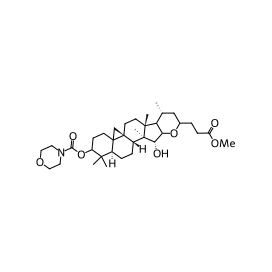 COC(=O)CCC1C[C@@H](C)C2C(O1)[C@H](O)[C@@]1(C)[C@@H]3CC[C@H]4C(C)(C)C(OC(=O)N5CCOCC5)CCC45C[C@@]35CC[C@]21C